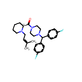 CC(C)=CCN1CCCC[C@H]1C(=O)N1CCN(C(c2ccc(F)cc2)c2ccc(F)cc2)CC1